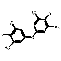 Cc1cc(Oc2cc(C)c(Cl)c(C)c2)cc(C)c1O